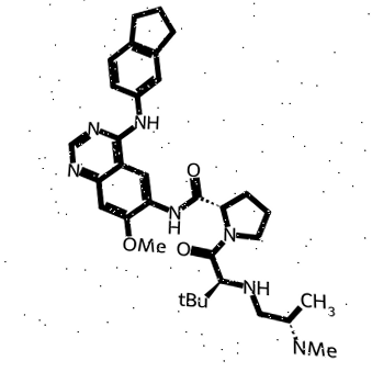 CN[C@@H](C)CN[C@H](C(=O)N1CCC[C@H]1C(=O)Nc1cc2c(Nc3ccc4c(c3)CCC4)ncnc2cc1OC)C(C)(C)C